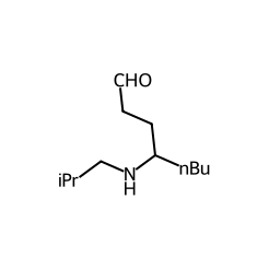 CCCCC(CCC=O)NCC(C)C